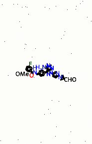 COc1ccc(F)cc1C(=O)NCc1ccc(-c2nn(-c3ccc(N4CC(C=O)C4)nc3)c3ncnc(N)c23)cc1